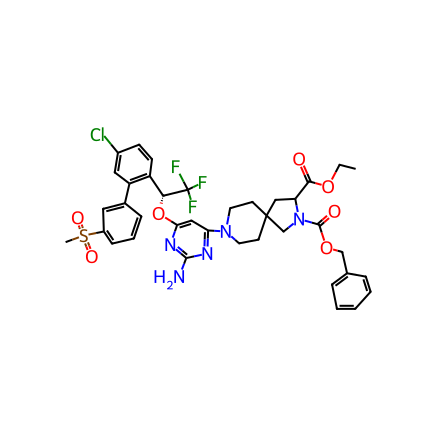 CCOC(=O)C1CC2(CCN(c3cc(O[C@H](c4ccc(Cl)cc4-c4cccc(S(C)(=O)=O)c4)C(F)(F)F)nc(N)n3)CC2)CN1C(=O)OCc1ccccc1